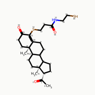 CC(=O)[C@H]1CCC2C3CCC4=C(SCCC(=O)NCCS)C(=O)CC[C@]4(C)C3CC[C@@]21C